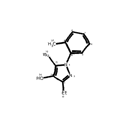 CCc1nn(-c2ccccc2C)c(C(C)(C)C)c1O